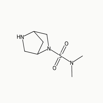 CN(C)S(=O)(=O)N1CC2CC1CN2